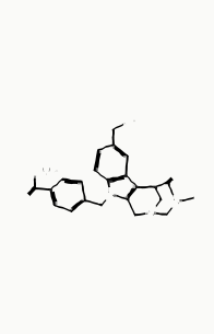 COC(=O)c1ccc(Cn2c3c(c4cc(CO)ccc42)C2CN(C3)CN(C)C2=O)cc1